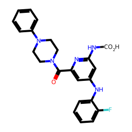 O=C(O)Nc1cc(Nc2ccccc2F)cc(C(=O)N2CCN(c3ccccc3)CC2)n1